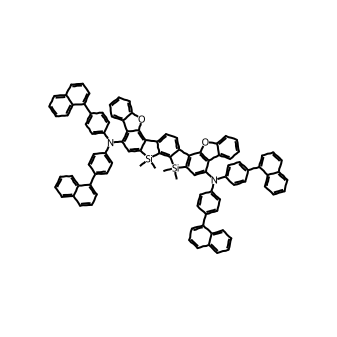 C[Si]1(C)c2cc(N(c3ccc(-c4cccc5ccccc45)cc3)c3ccc(-c4cccc5ccccc45)cc3)c3c(oc4ccccc43)c2-c2ccc3c(c21)[Si](C)(C)c1cc(N(c2ccc(-c4cccc5ccccc45)cc2)c2ccc(-c4cccc5ccccc45)cc2)c2c(oc4ccccc42)c1-3